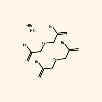 Br.Br.C=C(Br)C[Te]CC(=C)Br.C=C(Br)C[Te]CC(=C)Br